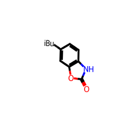 CCC(C)c1ccc2[nH]c(=O)oc2c1